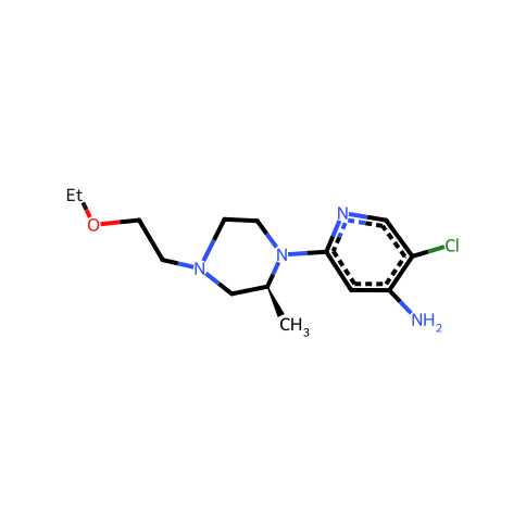 CCOCCN1CCN(c2cc(N)c(Cl)cn2)[C@@H](C)C1